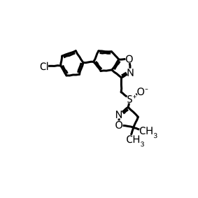 CC1(C)CC([S+]([O-])Cc2noc3ccc(-c4ccc(Cl)cc4)cc23)=NO1